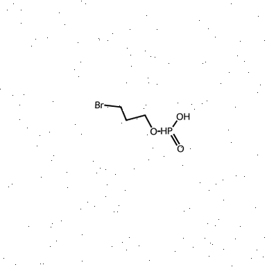 O=[PH](O)OCCCBr